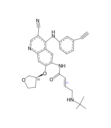 C#Cc1cccc(Nc2c(C#N)cnc3cc(O[C@H]4CCOC4)c(NC(=O)/C=C/CNC(C)(C)C)cc23)c1